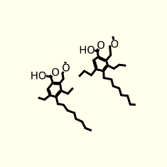 CCCCCCCCc1c(CC)cc(C(=O)O)c(CCOC)c1CC.CCCCCCCCc1c(CCC)cc(C(=O)O)c(CCOC)c1CCC